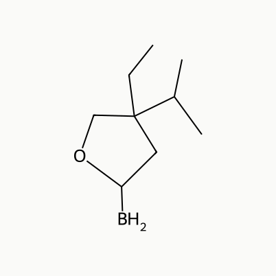 BC1CC(CC)(C(C)C)CO1